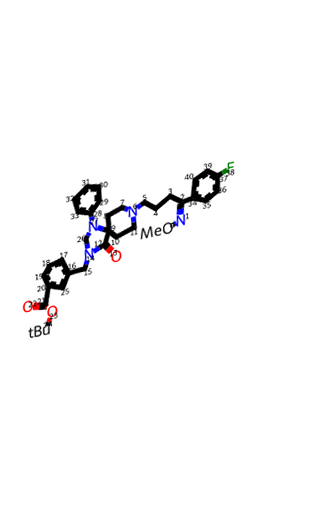 CON=C(CCCN1CCC2(CC1)C(=O)N(Cc1cccc(C(=O)OC(C)(C)C)c1)CN2c1ccccc1)c1ccc(F)cc1